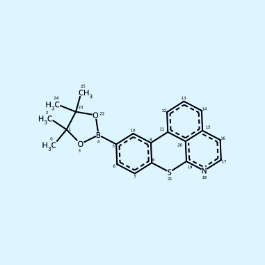 CC1(C)OB(c2ccc3c(c2)-c2cccc4ccnc(c24)S3)OC1(C)C